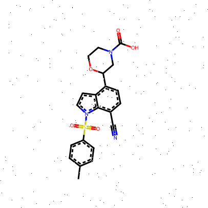 Cc1ccc(S(=O)(=O)n2ccc3c(C4CN(C(=O)O)CCO4)ccc(C#N)c32)cc1